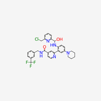 O=C(NCc1cccc(C(F)(F)F)c1)c1ccnc(-c2cc(N3CCCCC3)ccc2NC(O)c2cccc(CCl)n2)c1